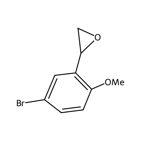 COc1ccc(Br)cc1C1CO1